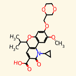 COc1cc2c(cc1OCC1COCCO1)OC(C(C)C)c1cc(C(=O)O)c(=O)n(C3CC3)c1-2